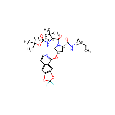 C=C[C@@H]1C[C@H]1NC(=O)[C@@H]1C[C@@H](Oc2nccc3cc4c(cc23)OC(F)(F)O4)CN1C(=O)[C@@H](NC(=O)OC(C)(C)C)C(C)(C)C